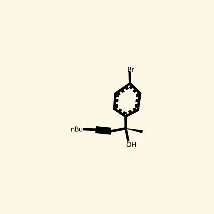 CCCCC#C[C@@](C)(O)c1ccc(Br)cc1